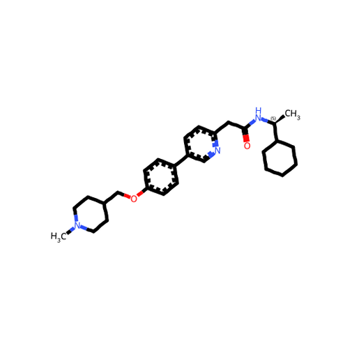 C[C@H](NC(=O)Cc1ccc(-c2ccc(OCC3CCN(C)CC3)cc2)cn1)C1CCCCC1